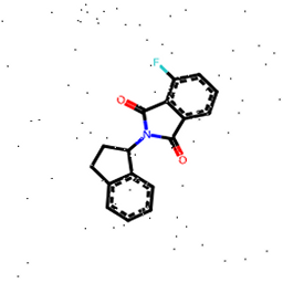 O=C1c2cccc(F)c2C(=O)N1C1CCc2ccccc21